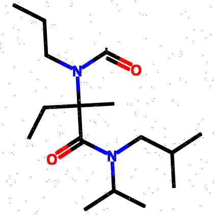 CCCN([C]=O)C(C)(CC)C(=O)N(CC(C)C)C(C)C